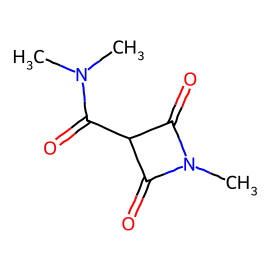 CN(C)C(=O)C1C(=O)N(C)C1=O